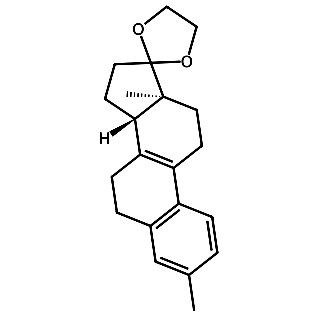 Cc1ccc2c(c1)CCC1=C2CC[C@@]2(C)[C@H]1CCC21OCCO1